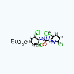 CCOC(=O)c1cc(Cl)c(NC(=O)c2nc(Cl)ccc2Cl)c(Cl)c1